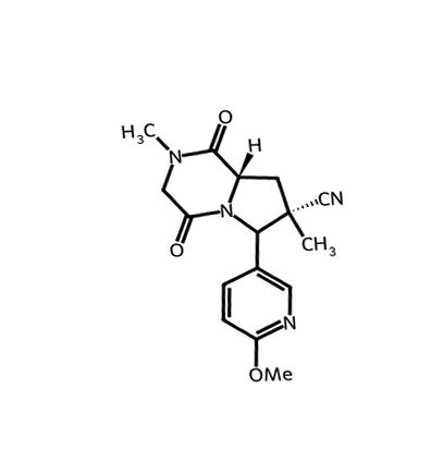 COc1ccc(C2N3C(=O)CN(C)C(=O)[C@@H]3C[C@]2(C)C#N)cn1